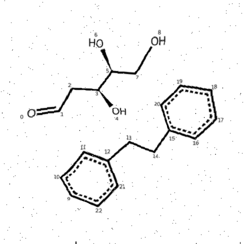 O=CC[C@H](O)[C@@H](O)CO.c1ccc(CCc2ccccc2)cc1